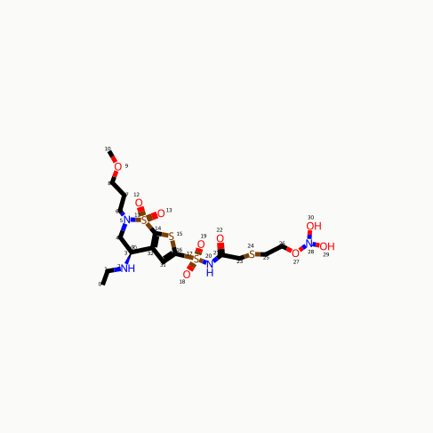 CCN[C@H]1CN(CCCOC)S(=O)(=O)c2sc(S(=O)(=O)NC(=O)CSCCON(O)O)cc21